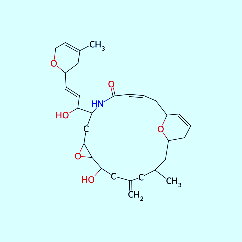 C=C1CC(C)CC2CC=CC(C/C=C\C(=O)NC(C(O)C=CC3CC(C)=CCO3)CC3OC3C(O)C1)O2